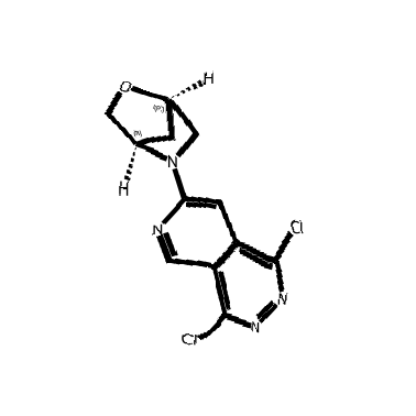 Clc1nnc(Cl)c2cc(N3C[C@H]4C[C@@H]3CO4)ncc12